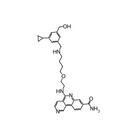 NC(=O)c1ccc2c(c1)nc(NCCOCCCCNCc1cc(CO)cc(C3CC3)c1)c1ccncc12